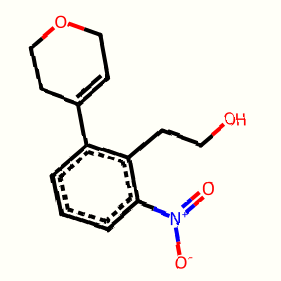 O=[N+]([O-])c1cccc(C2=CCOCC2)c1CCO